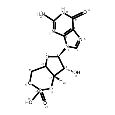 Nc1nc2c(ncn2[C@@H]2OC3COP(=O)(O)O[C@H]3[C@H]2O)c(=O)[nH]1